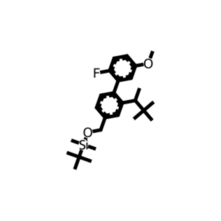 COc1ccc(F)c(-c2ccc(CO[Si](C)(C)C(C)(C)C)cc2C(C)C(C)(C)C)c1